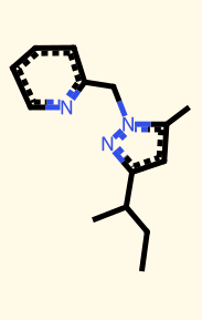 CCC(C)c1cc(C)n(Cc2ccccn2)n1